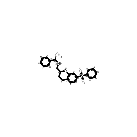 C[C@@H](NCC1CCc2ccc(S(=O)(=O)c3ccccc3)cc2O1)c1ccccc1